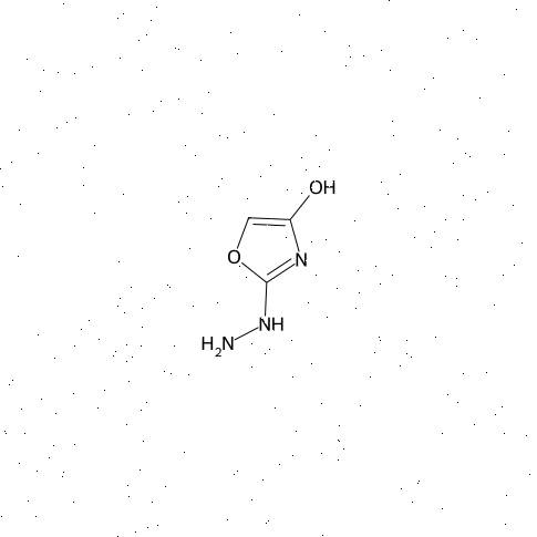 NNc1nc(O)co1